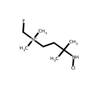 CC(C)(CC[N+](C)(C)CF)NCl